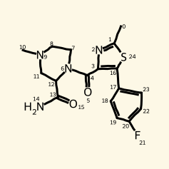 Cc1nc(C(=O)N2CCN(C)CC2C(N)=O)c(-c2ccc(F)cc2)s1